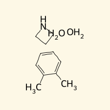 C1CNC1.Cc1ccccc1C.O.O